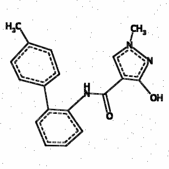 Cc1ccc(-c2ccccc2NC(=O)c2cn(C)nc2O)cc1